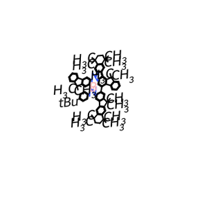 CC(C)(C)c1ccc(N2B3c4cc5c(cc4-n4c6cc7c(cc6c6c8c(c(c3c64)-c3cc4c(cc32)-c2cc3c(cc2C4(C)C)C(C)(C)CCC3(C)C)-c2ccccc2C8(C)C)C(C)(C)CCC7(C)C)-c2ccccc2C5(C)C)cc1